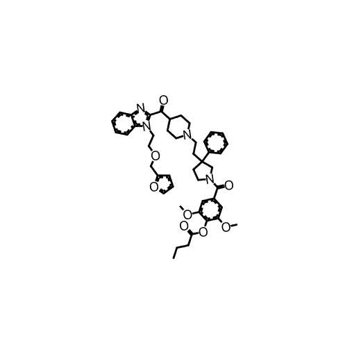 CCCC(=O)Oc1c(OC)cc(C(=O)N2CCC(CCN3CCC(C(=O)c4nc5ccccc5n4CCOCc4ccco4)CC3)(c3ccccc3)C2)cc1OC